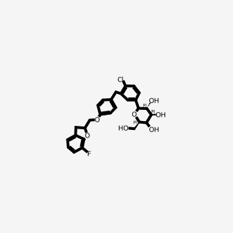 OC[C@H]1OC(c2ccc(Cl)c(Cc3ccc(OCC4Cc5cccc(F)c5O4)cc3)c2)[C@H](O)[C@@H](O)C1O